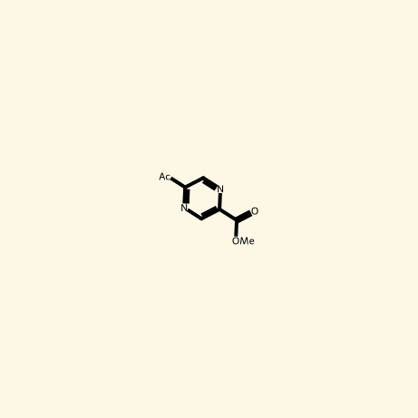 COC(=O)c1cnc(C(C)=O)cn1